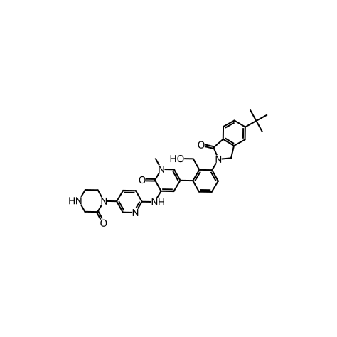 Cn1cc(-c2cccc(N3Cc4cc(C(C)(C)C)ccc4C3=O)c2CO)cc(Nc2ccc(N3CCNCC3=O)cn2)c1=O